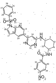 O=C(NC1CCCC(Nc2cc(-c3cnc4c(ccn4S(=O)(=O)c4ccccc4)c3)ncn2)C1)c1ccc([N+](=O)[O-])cc1